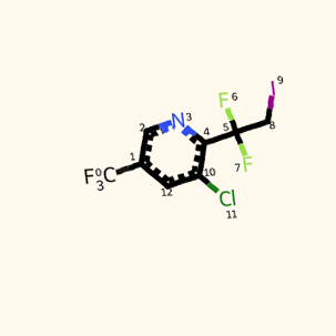 FC(F)(F)c1cnc(C(F)(F)CI)c(Cl)c1